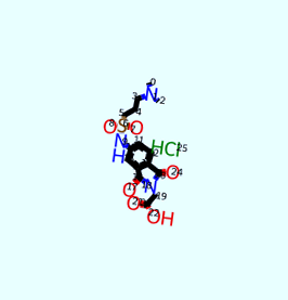 CN(C)CCCS(=O)(=O)Nc1ccc2c(c1)C(=O)N(CC(=O)O)C2=O.Cl